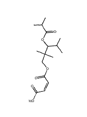 CC(C)C(=O)OC(C(C)C)C(C)(C)COC(=O)/C=C\C(=O)O